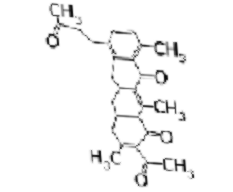 CC(=O)CCc1ccc(C)c2c1CC1CC3CC(C)=C(C(C)=O)C(=O)C3C(C)=C1C2=O